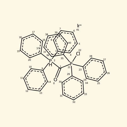 O=C([PH](c1ccccc1)(c1ccccc1)c1ccccc1)P(Cl)(c1ccccc1)(c1ccccc1)c1ccccc1.[Ir+]